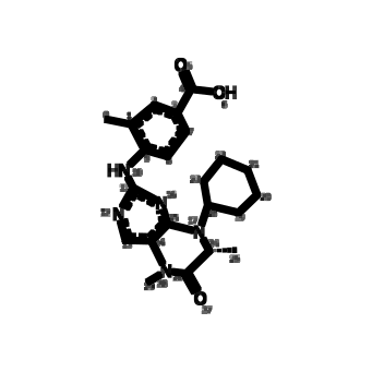 Cc1cc(C(=O)O)ccc1Nc1ncc2c(n1)N(C1CCCCC1)[C@H](C)C(=O)N2C